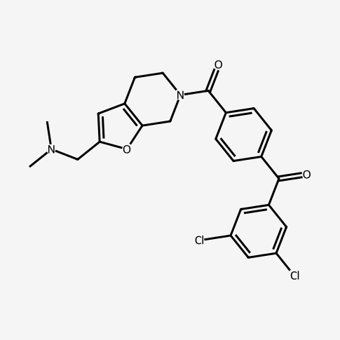 CN(C)Cc1cc2c(o1)CN(C(=O)c1ccc(C(=O)c3cc(Cl)cc(Cl)c3)cc1)CC2